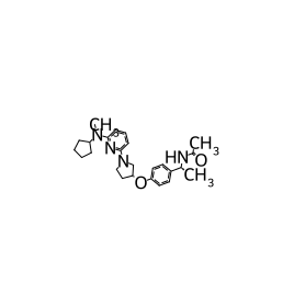 CC(=O)N[C@@H](C)c1ccc(O[C@@H]2CCN(c3cccc(N(C)C4CCCC4)n3)C2)cc1